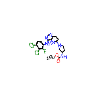 CC(C)(C)OC(=O)NC1CCN(c2ccc3ncnc(Nc4ccc(Cl)c(Cl)c4F)c3n2)C1